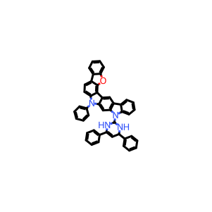 C1=C(c2ccccc2)NC(n2c3ccccc3c3cc4c5c6oc7ccccc7c6ccc5n(-c5ccccc5)c4cc32)NC1c1ccccc1